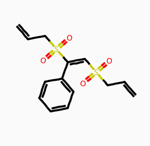 C=CCS(=O)(=O)C=C(c1ccccc1)S(=O)(=O)CC=C